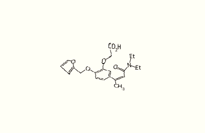 CCN(CC)C(=O)/C=C(/C)c1ccc(OCc2ccco2)c(OCC(=O)O)c1